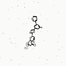 CC1(C)CC(=O)[C@@]2(I)C=CC(c3ncc(-c4cc(F)cc(-c5cccnc5)c4)s3)=NC2C1